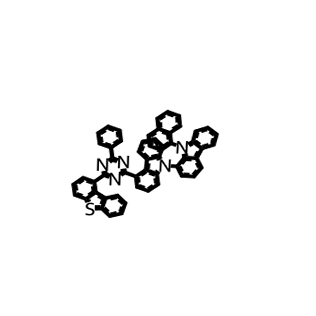 c1ccc(-c2nc(-c3cccc4sc5ccccc5c34)nc(-c3cccc4c3c3ccccc3n4-c3cccc4c5ccccc5n(-c5cccc6ccccc56)c34)n2)cc1